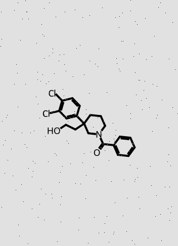 O=C(c1ccccc1)N1CCCC(CCO)(c2ccc(Cl)c(Cl)c2)C1